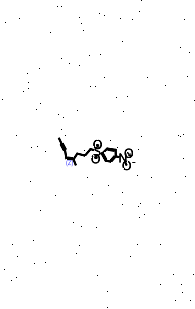 CC#C/C=C(/C)CCCS(=O)(=O)c1ccc([N+](=O)[O-])cc1